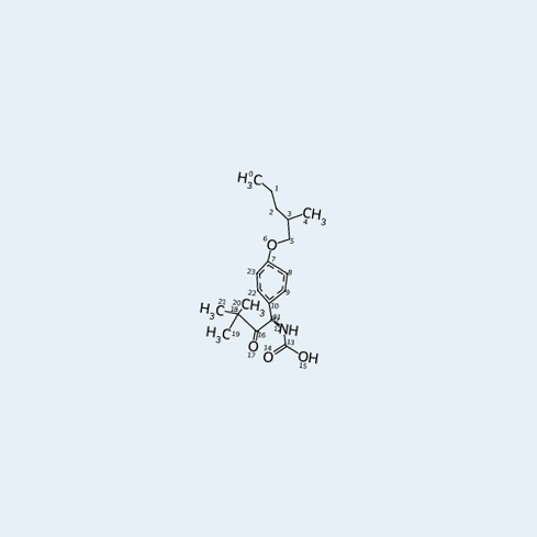 CCCC(C)COc1ccc([C@@H](NC(=O)O)C(=O)C(C)(C)C)cc1